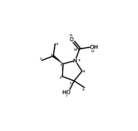 CC(C)[C@@H]1CC(C)(O)CN1C(=O)O